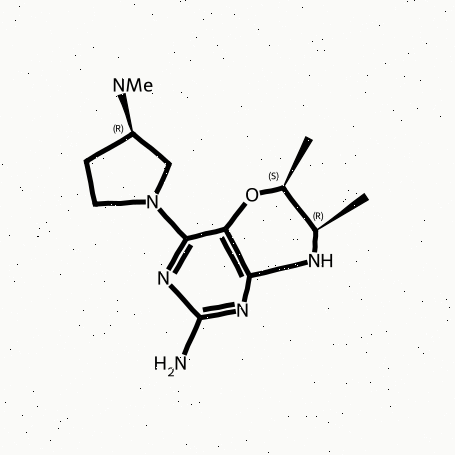 CN[C@@H]1CCN(c2nc(N)nc3c2O[C@@H](C)[C@@H](C)N3)C1